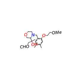 COCCOc1cc(C)c(C)cc1CN1CCOCC1C(C)(O)CC=O